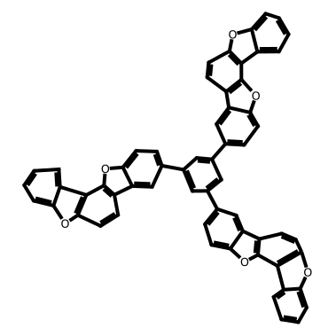 c1ccc2c(c1)oc1ccc3c4cc(-c5cc(-c6ccc7oc8c(ccc9oc%10ccccc%10c98)c7c6)cc(-c6ccc7oc8c(ccc9oc%10ccccc%10c98)c7c6)c5)ccc4oc3c12